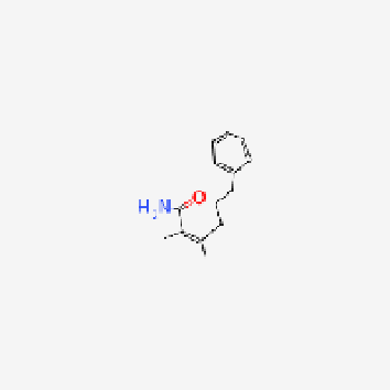 CC(CCCc1ccccc1)=C(C)C(N)=O